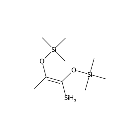 CC(O[Si](C)(C)C)=C([SiH3])O[Si](C)(C)C